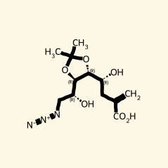 C=C(C[C@@H](O)[C@H]1OC(C)(C)O[C@@H]1[C@H](O)CN=[N+]=[N-])C(=O)O